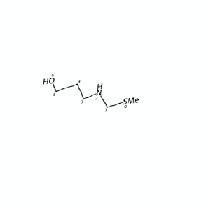 CSCNCCCO